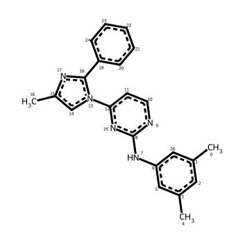 Cc1cc(C)cc(Nc2nccc(-n3cc(C)nc3-c3ccccc3)n2)c1